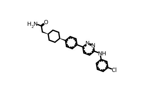 NC(=O)C[C@H]1CC[C@@H](c2ccc(-c3ccc(Nc4cccc(Cl)c4)nn3)cc2)CC1